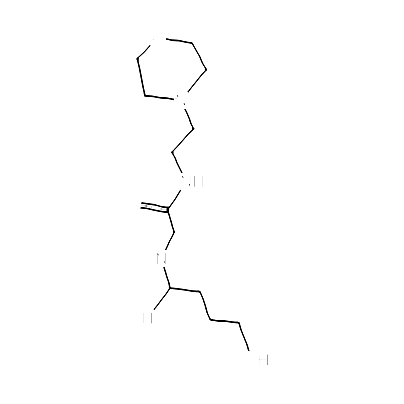 [2H]C(CCCC)NCC(=O)NCCN1CCOCC1